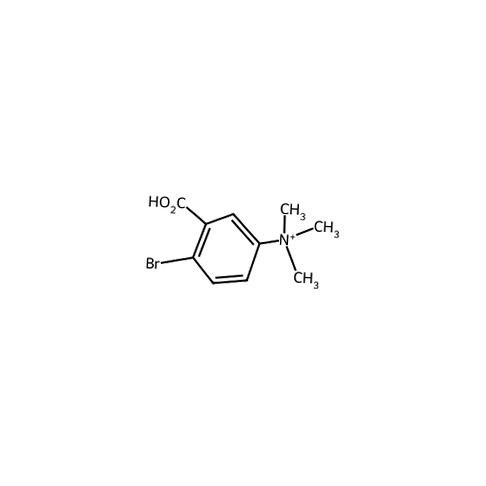 C[N+](C)(C)c1ccc(Br)c(C(=O)O)c1